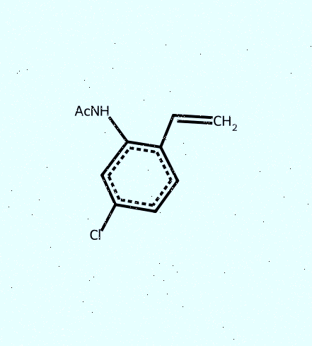 C=Cc1ccc(Cl)cc1NC(C)=O